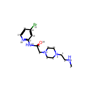 CNCCN1CCN(CC(=O)Nc2cc(Br)ccn2)CC1